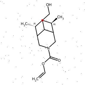 C=COC(=O)N1CC2C(CCO)C(C1)[C@H](C)C[C@H]2C